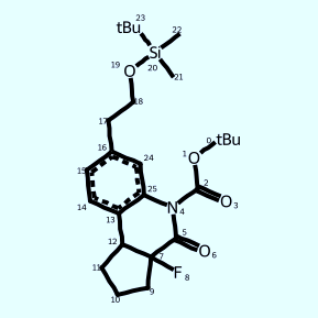 CC(C)(C)OC(=O)N1C(=O)C2(F)CCCC2c2ccc(CCO[Si](C)(C)C(C)(C)C)cc21